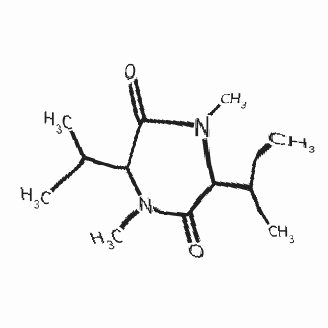 CC(C)C1C(=O)N(C)C(C(C)C)C(=O)N1C